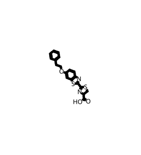 O=C(O)C1CSC(c2nc3ccc(OCCc4ccccc4)cc3s2)=N1